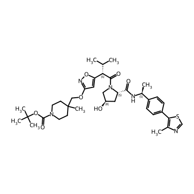 Cc1ncsc1-c1ccc([C@H](C)NC(=O)[C@@H]2C[C@@H](O)CN2C(=O)[C@H](c2cc(OCC3(C)CCN(C(=O)OC(C)(C)C)CC3)no2)C(C)C)cc1